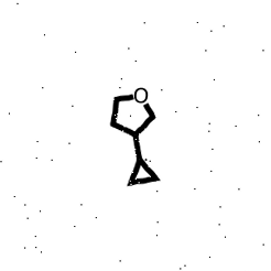 C1CC([C]2CC2)CO1